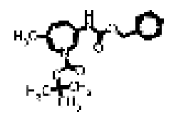 CC1=CN(C(=O)OC(C)(C)C)C=C(NC(=O)OCc2ccccc2)C=C1